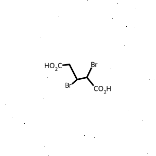 O=C(O)CC(Br)C(Br)C(=O)O